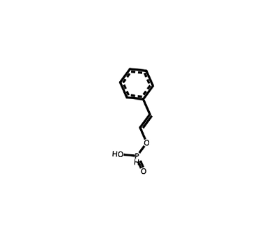 O=[PH](O)OC=Cc1ccccc1